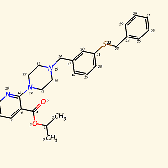 CC(C)OC(=O)c1cccnc1N1CCN(Cc2cccc(SCc3ccccc3)c2)CC1